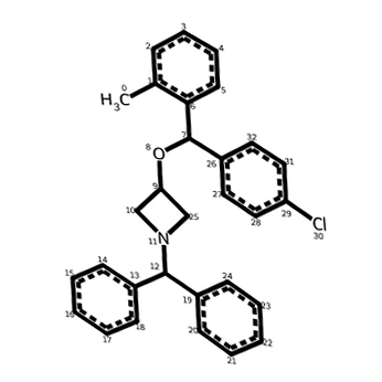 Cc1ccccc1C(OC1CN(C(c2ccccc2)c2ccccc2)C1)c1ccc(Cl)cc1